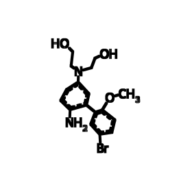 COc1ccc(Br)cc1-c1cc(N(CCO)CCO)ccc1N